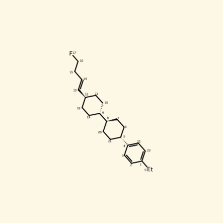 CCc1ccc([C@H]2CC[C@H]([C@H]3CC[C@H](C=CCCF)CC3)CC2)cc1